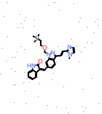 Cn1ccnc1C=Cc1nn(COCC[Si](C)(C)C)c2cc(C=C3C(=O)Nc4ccccc43)ccc12